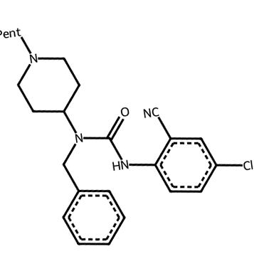 CCCC(C)N1CCC(N(Cc2ccccc2)C(=O)Nc2ccc(Cl)cc2C#N)CC1